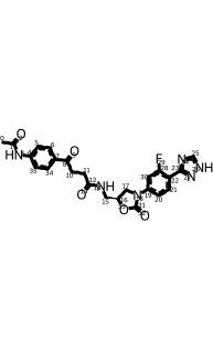 CC(=O)Nc1ccc(C(=O)CCC(=O)NC[C@H]2CN(c3ccc(-c4nc[nH]n4)c(F)c3)C(=O)O2)cc1